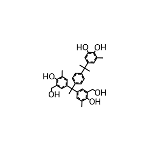 Cc1cc(C(C)(C)c2ccc(C(C)(c3cc(C)c(O)c(CO)c3)c3cc(C)c(O)c(CO)c3)cc2)cc(O)c1O